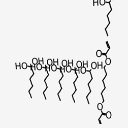 C=CC(=O)OCCCCCCOC(=O)C=C.CCCCCC(O)O.CCCCCC(O)O.CCCCCC(O)O.CCCCCC(O)O.CCCCCC(O)O.CCCCCC(O)O